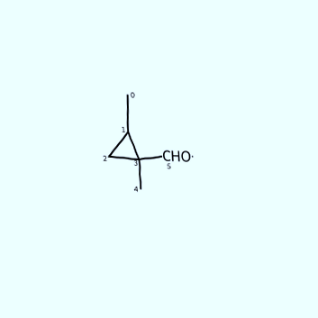 CC1CC1(C)[C]=O